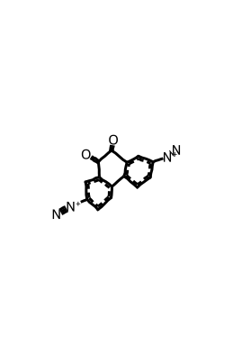 N#[N+]c1ccc2c(c1)C(=O)C(=O)c1cc([N+]#N)ccc1-2